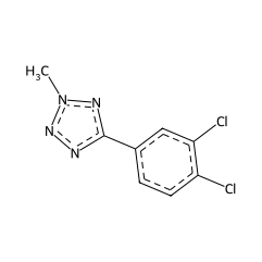 Cn1nnc(-c2ccc(Cl)c(Cl)c2)n1